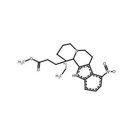 CC[C@]1(CCC(=O)OC)CCCN2CCc3c([nH]c4cccc([N+](=O)[O-])c34)C21